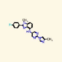 Cc1cn(-c2ncc(Nc3cccc4c3nc(-c3ccc(F)cc3)n4C)cn2)cn1